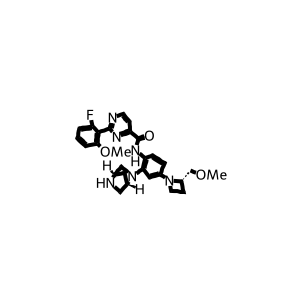 COC[C@@H]1CCN1c1ccc(NC(=O)c2ccnc(-c3c(F)cccc3OC)n2)c(N2C[C@@H]3C[C@H]2CN3)c1